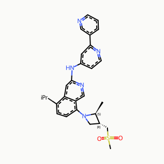 CC(C)c1ccc(N2C[C@@H](CS(C)(=O)=O)[C@@H]2C)c2cnc(Nc3ccnc(-c4cccnc4)c3)cc12